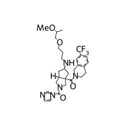 COC(C)COCCCN[C@@H]1C[C@H]2CN(C(=O)n3ccnc3)C[C@@]2(C(=O)N2CCc3ccc(C(F)(F)F)cc3C2)C1